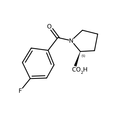 O=C(O)[C@@H]1CCCN1C(=O)c1ccc(F)cc1